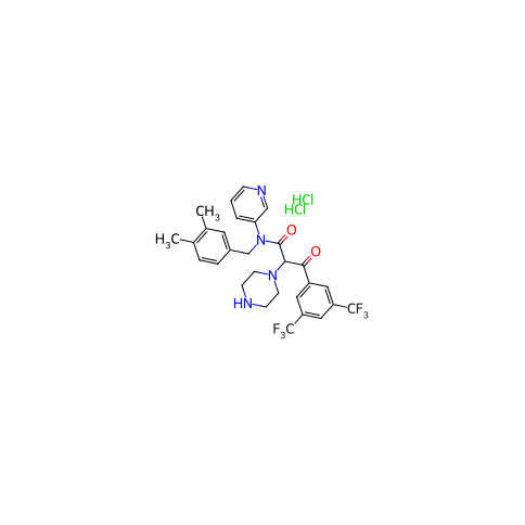 Cc1ccc(CN(C(=O)C(C(=O)c2cc(C(F)(F)F)cc(C(F)(F)F)c2)N2CCNCC2)c2cccnc2)cc1C.Cl.Cl